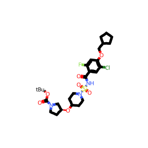 CC(C)(C)OC(=O)N1CC[C@H](OC2CCN(S(=O)(=O)NC(=O)c3cc(Cl)c(OCC4CCCC4)cc3F)CC2)C1